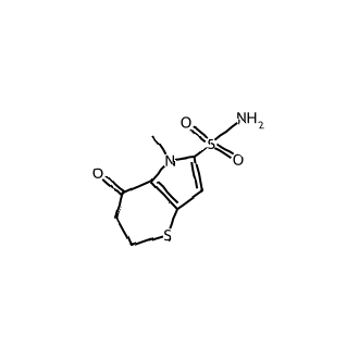 Cn1c(S(N)(=O)=O)cc2c1C(=O)CCS2